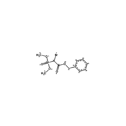 COP(=O)(OC)C(Br)C(=O)OCc1ccccc1